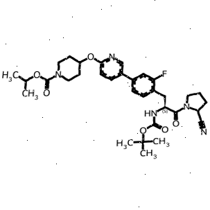 CC(C)OC(=O)N1CCC(Oc2ccc(-c3ccc(C[C@H](NC(=O)OC(C)(C)C)C(=O)N4CCCC4C#N)c(F)c3)cn2)CC1